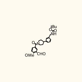 COc1ccc(C(=O)N2CCC(c3cccc(CNC(=O)OC(C)(C)C)c3)CC2)cc1C=O